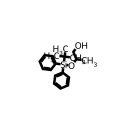 CC(CO)O[Si](c1ccccc1)(c1ccccc1)C(C)(C)C